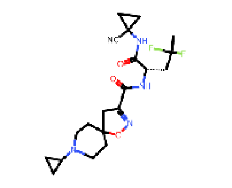 CC(F)(F)C[C@H](NC(=O)C1=NOC2(CCN(C3CC3)CC2)C1)C(=O)NC1(C#N)CC1